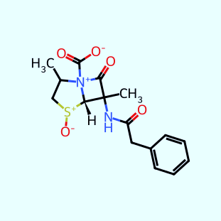 CC1C[S+]([O-])[C@H]2C(C)(NC(=O)Cc3ccccc3)C(=O)[N+]12C(=O)[O-]